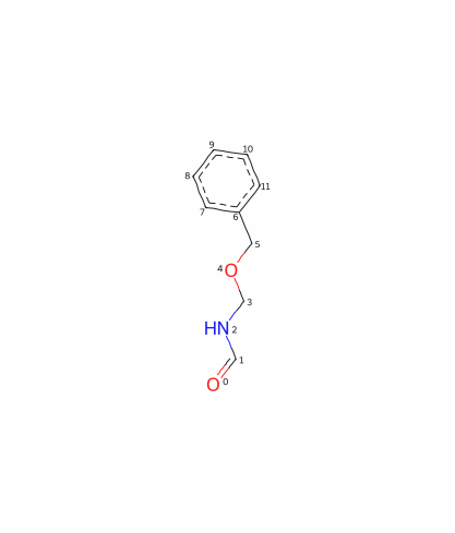 O=CNCOCc1ccccc1